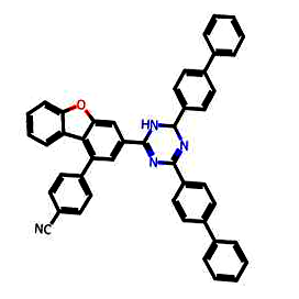 N#Cc1ccc(-c2cc(C3=NC(c4ccc(-c5ccccc5)cc4)=NC(c4ccc(-c5ccccc5)cc4)N3)cc3oc4ccccc4c23)cc1